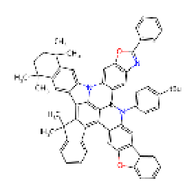 CC(C)(C)c1ccc(N2B3c4cc5nc(-c6ccccc6)oc5cc4-n4c5cc6c(cc5c5c7c(c(c3c54)-c3cc4oc5ccccc5c4cc32)-c2ccccc2C7(C)C)C(C)(C)CCC6(C)C)cc1